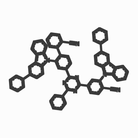 N#Cc1ccccc1-c1ccc(-c2nc(-c3ccccc3)nc(-c3ccc(C#N)c(-n4c5ccccc5c5cc(-c6ccccc6)ccc54)c3)n2)cc1-n1c2ccccc2c2cc(-c3ccccc3)ccc21